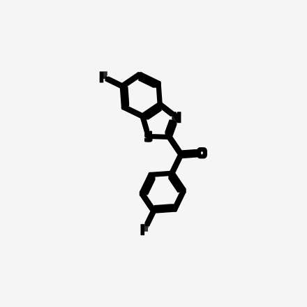 O=C(c1ccc(F)cc1)c1nc2ccc(F)cc2s1